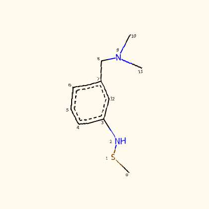 CSNc1cccc(CN(C)C)c1